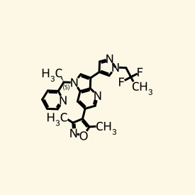 Cc1noc(C)c1-c1cnc2c(-c3cnn(CC(C)(F)F)c3)cn([C@@H](C)c3ccccn3)c2c1